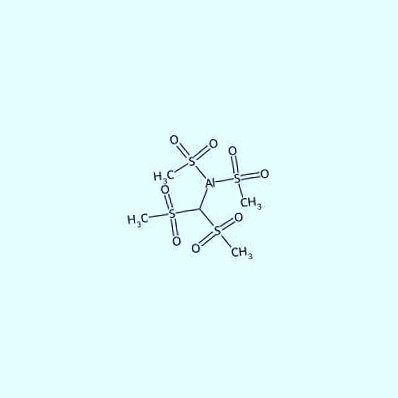 CS(=O)(=O)[CH]([Al]([S](C)(=O)=O)[S](C)(=O)=O)S(C)(=O)=O